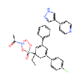 CCC1([As](=O)(OO)ONC(C)=O)C=C(c2ccccc2)C=C(c2ccc(F)cc2)C1.c1cc(-c2cn[nH]c2)ccn1